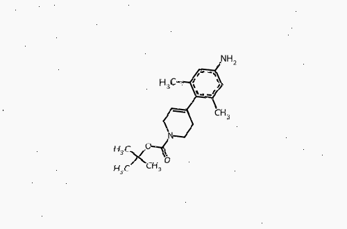 Cc1cc(N)cc(C)c1C1=CCN(C(=O)OC(C)(C)C)CC1